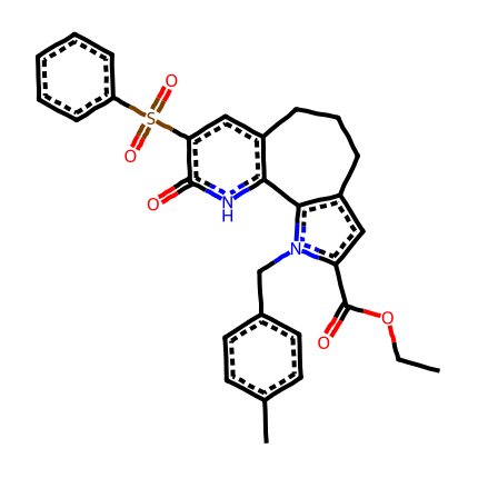 CCOC(=O)c1cc2c(n1Cc1ccc(C)cc1)-c1[nH]c(=O)c(S(=O)(=O)c3ccccc3)cc1CCC2